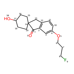 O=C1c2cc(OCCCF)ccc2CC12CCC(O)CC2